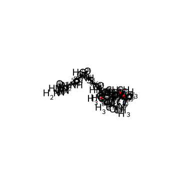 CCC(O)(CC)C[C@H]1CNCCc2c([nH]c3ccccc23)[C@@](C(=O)OC)(c2cc3c(cc2OC)N(C)[C@H]2[C@@](O)(C(=O)NNC(=O)OCCSSC[C@H](NC(=O)c4ccc(NCc5cnc6nc(N)[nH]c(=O)c6n5)cc4)C(=O)O)[C@H](O)[C@]4(CC)C=CCN5CC[C@]32[C@@H]54)C1